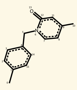 Cc1ccc(Cn2ccc(C)cc2=O)cc1